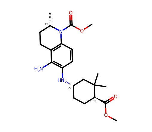 COC(=O)[C@H]1CC[C@H](Nc2ccc3c(c2N)CC[C@H](C)N3C(=O)OC)CC1(C)C